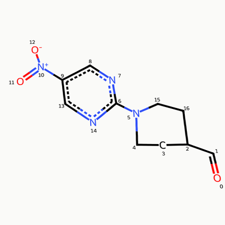 O=CC1CCN(c2ncc([N+](=O)[O-])cn2)CC1